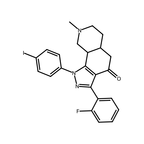 CN1CCC2CC(=O)c3c(-c4ccccc4F)nn(-c4ccc(I)cc4)c3C2C1